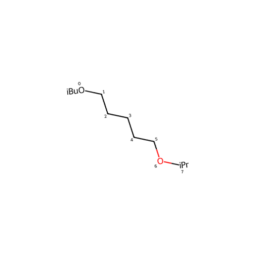 CC(C)COCCCCCOC(C)C